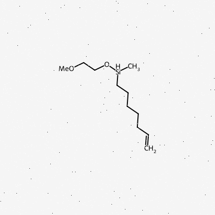 C=CCCCCC[SiH](C)OCCOC